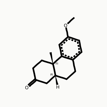 COc1ccc2c(c1)[C@@]1(C)CCC(=O)C[C@H]1CC2